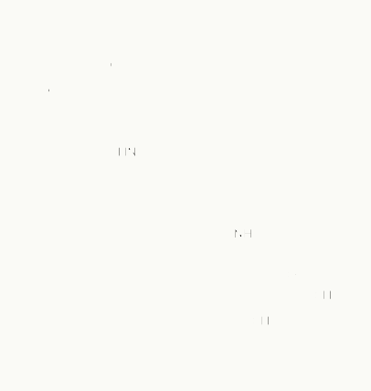 COC(C)CNc1ccc(NCC(C)OC)cc1